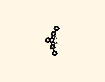 Cp1c2cc(-c3ccccc3)ccc2c2c3ccccc3c3c4ccc(-c5ccccc5)cc4p(C)c3c21